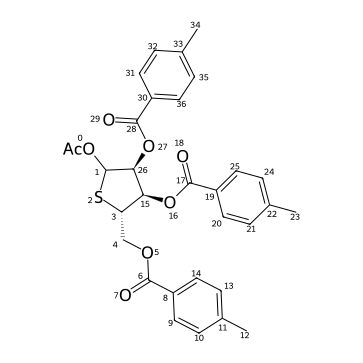 CC(=O)OC1S[C@@H](COC(=O)c2ccc(C)cc2)[C@H](OC(=O)c2ccc(C)cc2)[C@@H]1OC(=O)c1ccc(C)cc1